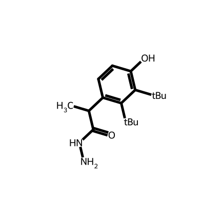 CC(C(=O)NN)c1ccc(O)c(C(C)(C)C)c1C(C)(C)C